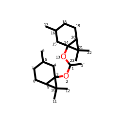 [CH2]C(OC12CC(C)CCC1C2(C)C)OC12CC(C)CCC1C2(C)C